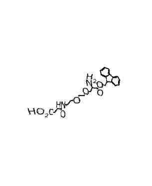 NC(COCCOCCNC(=O)CCC(=O)O)C(=O)OCC1c2ccccc2-c2ccccc21